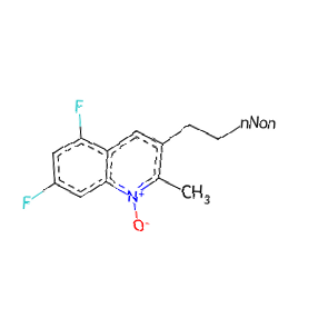 CCCCCCCCCCCc1cc2c(F)cc(F)cc2[n+]([O-])c1C